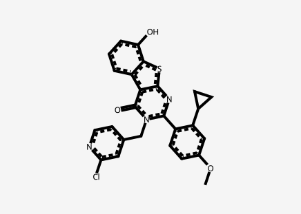 COc1ccc(-c2nc3sc4c(O)cccc4c3c(=O)n2Cc2ccnc(Cl)c2)c(C2CC2)c1